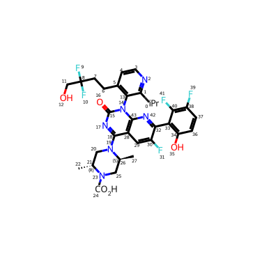 CC(C)c1nccc(CCC(F)(F)CO)c1-n1c(=O)nc(N2C[C@@H](C)N(C(=O)O)C[C@@H]2C)c2cc(F)c(-c3c(O)ccc(F)c3F)nc21